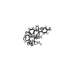 CN1C(=N)N[C@@]2(c3cc(NC(=O)C4C=CC(F)=CN4)ccc3F)CCOCC2S1(=O)=O